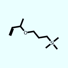 C=CC(C)OCCC[Si](C)(C)C